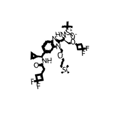 CC(C)(C)[S@@+]([O-])N[C@@H](COC1CC(F)(F)C1)c1nc2ccc([C@H](NC(=O)CC3CC(F)(F)C3)C3CC3)cc2n1COCC[Si](C)(C)C